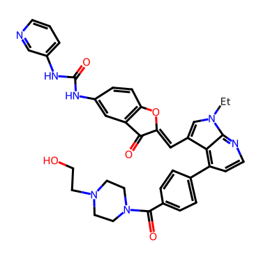 CCn1cc(C=C2Oc3ccc(NC(=O)Nc4cccnc4)cc3C2=O)c2c(-c3ccc(C(=O)N4CCN(CCO)CC4)cc3)ccnc21